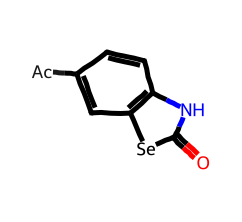 CC(=O)c1ccc2[nH]c(=O)[se]c2c1